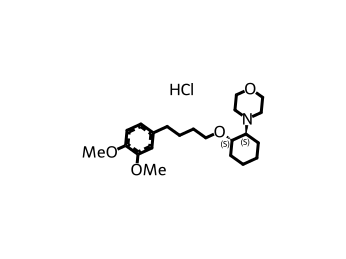 COc1ccc(CCCCO[C@H]2CCCC[C@@H]2N2CCOCC2)cc1OC.Cl